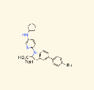 CC(C)(C)c1ccc(-c2ccc3c(c2)CC(C(=O)O)N3c2ccc(NC3CCCC3)cn2)cc1.[NaH]